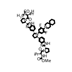 COC(=O)N[C@H](C(=O)N1CCC[C@H]1c1nc2cc([C@H]3CC[C@H](c4ccc5[nH]c([C@@H]6CCCN6C(=O)[C@H](C(C)C)N(C)C(=O)O)nc5c4)N3c3cc(F)c(N4CCC5(CCCCC5)CC4)c(F)c3)ccc2[nH]1)C(C)C